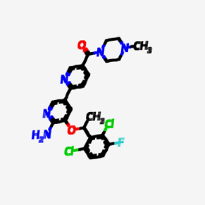 CC(Oc1cc(-c2ccc(C(=O)N3CCN(C)CC3)cn2)cnc1N)c1c(Cl)ccc(F)c1Cl